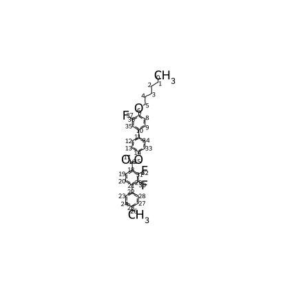 CCCCCCOc1ccc(-c2ccc(OC(=O)c3ccc(-c4ccc(C)cc4)c(F)c3F)cc2)cc1F